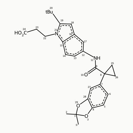 CC1(C)Oc2ccc(C3(C(=O)Nc4ccc5c(c4)cc(C(C)(C)C)n5CCC(=O)O)CC3)cc2O1